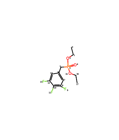 CCOP(=O)(Cc1cc(F)c(F)c(F)c1)OCC